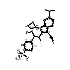 CC(C)c1ccc2c(C#N)c(C(F)C(CF)c3ccc(S(N)(=O)=O)cn3)n(C3CCC3)c2c1